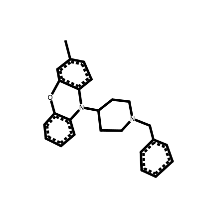 Cc1ccc2c(c1)Oc1ccccc1N2C1CCN(Cc2ccccc2)CC1